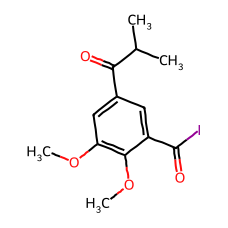 COc1cc(C(=O)C(C)C)cc(C(=O)I)c1OC